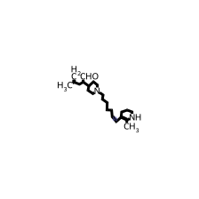 C=C(C)CC(C=O)C1CCN(CCCCC/C=C\C2=C(C)NCCC2)CC1